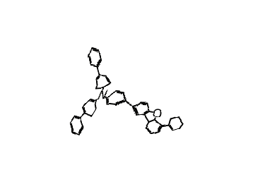 C1=CC2c3cc(-c4ccc(N(C5=CC=C(c6ccccc6)CC5)C5C=CC(c6ccccc6)=CC5)cc4)ccc3OC2C(C2=CCCCC2)=C1